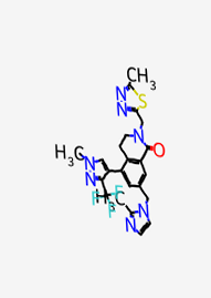 Cc1nnc(CN2CCc3c(cc(Cn4ccnc4C)cc3-c3cn(C)nc3C(F)(F)F)C2=O)s1